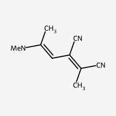 CN/C(C)=C/C(C#N)=C(\C)C#N